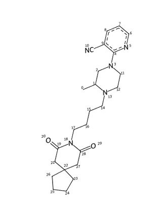 CC1CN(c2ncccc2C#N)CCN1CCCCN1C(=O)CC2(CCCC2)CC1=O